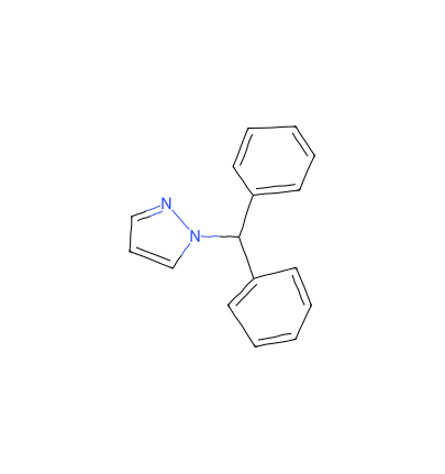 c1ccc(C(c2ccccc2)n2cccn2)cc1